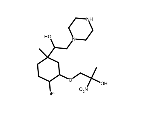 CC(C)C1CCC(C)(C(O)CN2CCNCC2)CC1OCC(C)(O)[N+](=O)[O-]